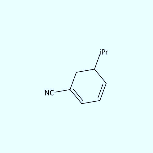 CC(C)C1C=CC=C(C#N)C1